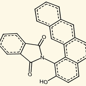 O=C1c2ccccc2C(=O)N1c1c(O)ccc2ccc3cc4ccccc4cc3c12